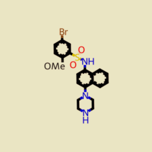 COc1ccc(Br)cc1S(=O)(=O)Nc1ccc(N2CCNCC2)c2ccccc12